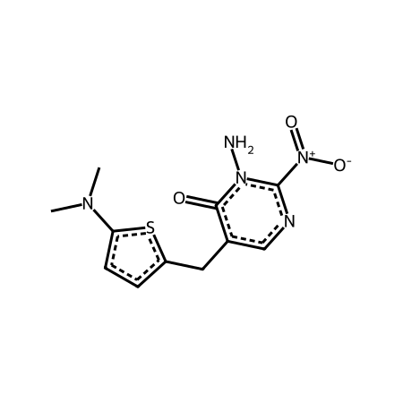 CN(C)c1ccc(Cc2cnc([N+](=O)[O-])n(N)c2=O)s1